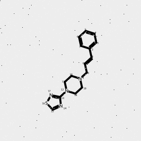 C(=Cc1ccccc1)CN1CCN(c2ncsn2)CC1